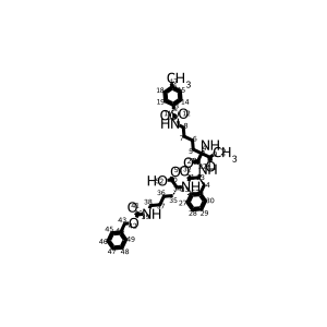 CC(=O)[C@@](N)(CCCCNS(=O)(=O)c1ccc(C)cc1)C(=O)N[C@@H](Cc1ccccc1)C(=O)N[C@H](CCCCNC(=O)OCc1ccccc1)C(=O)O